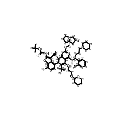 CC(C)(C)OC(=O)Nc1sc2c(F)ccc(-c3c(C(F)(F)F)c(OCCOC4CCCCO4)c4c(N[C@H](CCCN5CCCCC5)c5cccnc5N)nc(OC[C@@]56CCCN5C[C@H](F)C6)nc4c3F)c2c1C#N